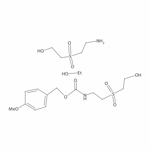 CCO.COc1ccc(COC(=O)NCCS(=O)(=O)CCO)cc1.NCCS(=O)(=O)CCO